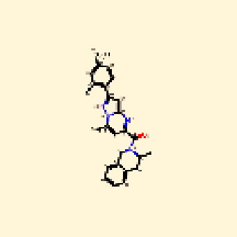 CCc1cc(C(=O)N2Cc3ccccc3CC2C)nc2cc(-c3ccc(C(=O)O)cc3C)nn12